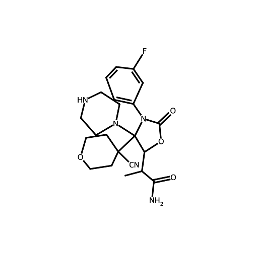 CC(C(N)=O)C1OC(=O)N(c2cccc(F)c2)C1(N1CCNCC1)C1(C#N)CCOCC1